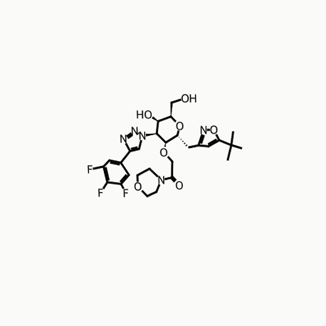 CC(C)(C)c1cc(C[C@H]2O[C@H](CO)[C@H](O)[C@H](n3cc(-c4cc(F)c(F)c(F)c4)nn3)[C@H]2OCC(=O)N2CCOCC2)no1